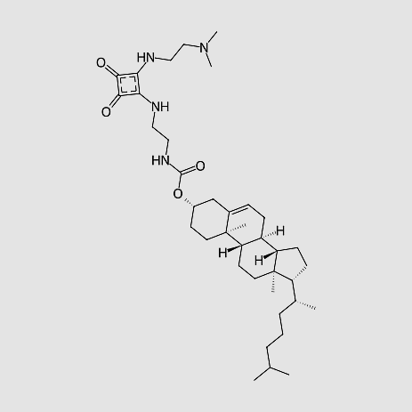 CC(C)CCC[C@@H](C)[C@H]1CC[C@H]2[C@@H]3CC=C4C[C@@H](OC(=O)NCCNc5c(NCCN(C)C)c(=O)c5=O)CC[C@]4(C)[C@H]3CC[C@]12C